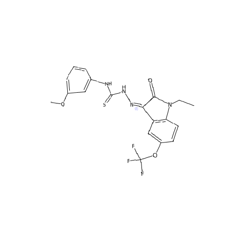 CCN1C(=O)/C(=N\NC(=S)Nc2cccc(OC)c2)c2cc(OC(F)(F)F)ccc21